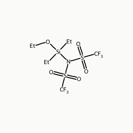 CCO[Si](CC)(CC)N(S(=O)(=O)C(F)(F)F)S(=O)(=O)C(F)(F)F